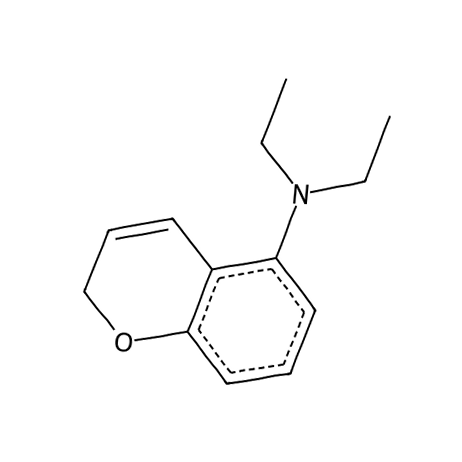 CCN(CC)c1cccc2c1C=CCO2